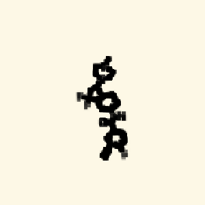 C#Cc1cc(C(=O)Nc2ccc3c(c2)C(F)(F)CC3N2CCN(C)CC2)ccc1F